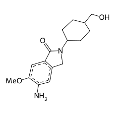 COc1cc2c(cc1N)CN(C1CCC(CO)CC1)C2=O